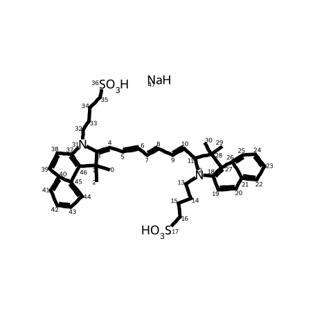 CC1(C)C(=CC=CC=CC=CC2N(CCCCS(=O)(=O)O)c3ccc4ccccc4c3C2(C)C)N(CCCCS(=O)(=O)O)c2ccc3ccccc3c21.[NaH]